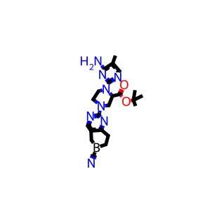 Cc1cnc(N2CCN(c3ncc4c(n3)CCB(C#N)C4)CC2C(=O)OC(C)(C)C)nc1N